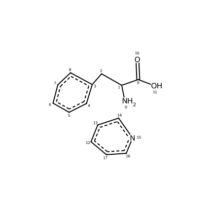 NC(Cc1ccccc1)C(=O)O.c1ccncc1